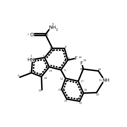 Cc1[nH]c2c(C(N)=O)cc(F)c(-c3cccc4c3C(F)CNC4)c2c1C